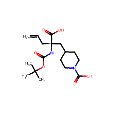 C=CC[C@@](CC1CCN(C(=O)O)CC1)(NC(=O)OC(C)(C)C)C(=O)O